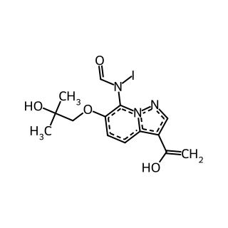 C=C(O)c1cnn2c(N(I)C=O)c(OCC(C)(C)O)ccc12